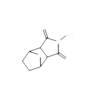 CCCN1C(=O)C2C3CCC(O3)C2C1=O